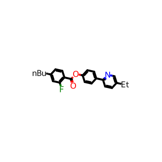 CCCCc1ccc(C(=O)Oc2ccc(-c3ccc(CC)cn3)cc2)c(F)c1